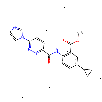 COC(=O)c1cc(C2CC2)ccc1NC(=O)c1ccc(-n2ccnc2)nn1